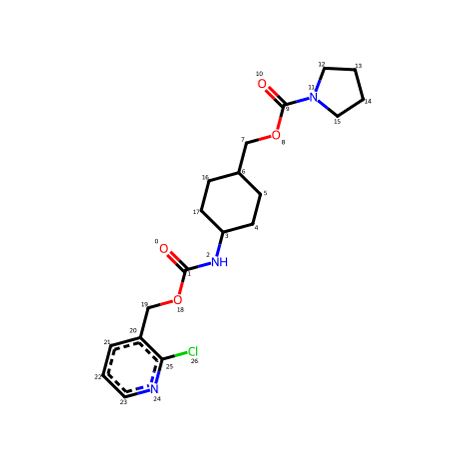 O=C(NC1CCC(COC(=O)N2CCCC2)CC1)OCc1cccnc1Cl